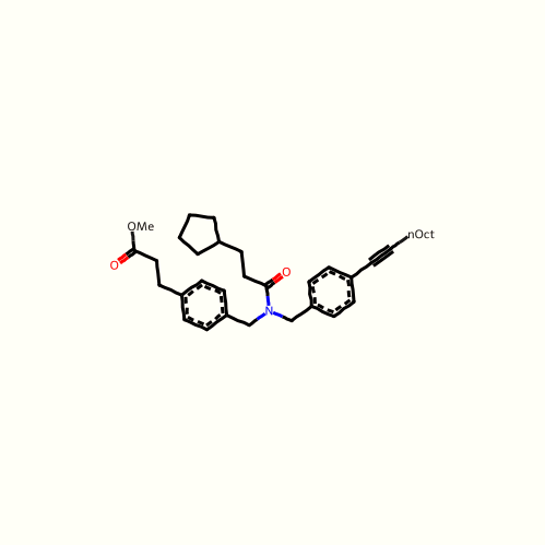 CCCCCCCCC#Cc1ccc(CN(Cc2ccc(CCC(=O)OC)cc2)C(=O)CCC2CCCC2)cc1